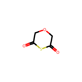 O=C1COCC(=O)S1